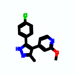 COc1cc(-c2c(C)n[nH]c2-c2ccc(Cl)cc2)ccn1